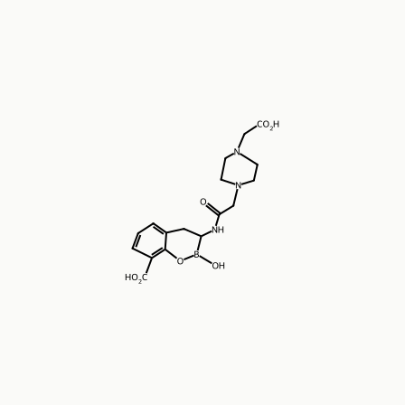 O=C(O)CN1CCN(CC(=O)NC2Cc3cccc(C(=O)O)c3OB2O)CC1